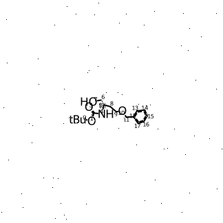 CC(C)(C)OC(=O)N[C@H](CO)CCOCc1ccccc1